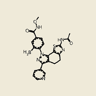 Bc1cc(C(=O)NOC)ccc1-n1nc(-c2cccnc2)c2c1-c1sc(NC(C)=O)nc1CC2